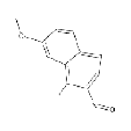 COc1ccc2ccc(N=O)c(C)c2c1